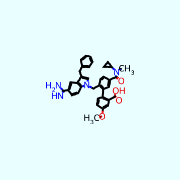 COc1ccc(-c2cc(C(=O)N(C)C3CC3)ccc2Cn2cc(Cc3ccccc3)c3cc(C(=N)N)ccc32)c(C(=O)O)c1